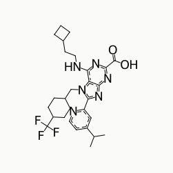 CC(C)c1ccnc(-c2nc3nc(C(=O)O)nc(NCCC4CCC4)c3n2CC2CCC(C(F)(F)F)CC2)c1